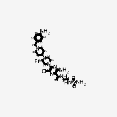 C=C(NCCNS(N)(=O)=O)c1nc(Cl)c(N2CCN(C3CCN(Cc4ccc(N)cc4)CC3)[C@@H](CC)C2)nc1N